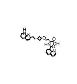 O=C(N[C@@H](CCO[C@H]1C[C@H](CCc2ccc3c(n2)NCCC3)C1)C(=O)O)c1cccc2cccnc12